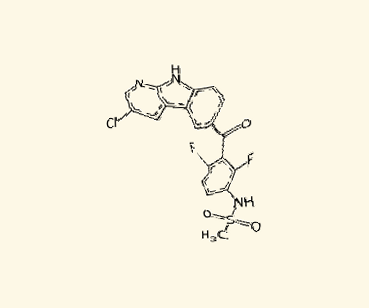 CS(=O)(=O)Nc1ccc(F)c(C(=O)c2ccc3[nH]c4ncc(Cl)cc4c3c2)c1F